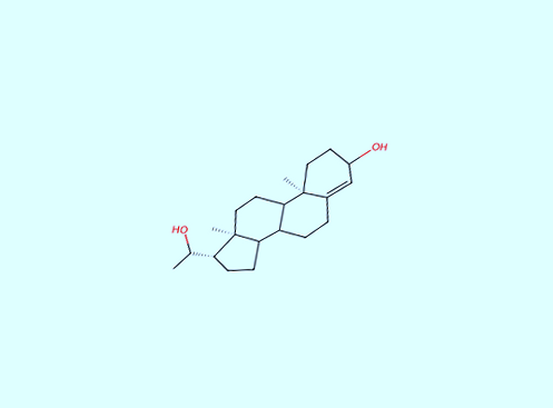 CC(O)[C@H]1CCC2C3CCC4=CC(O)CC[C@]4(C)C3CC[C@@]21C